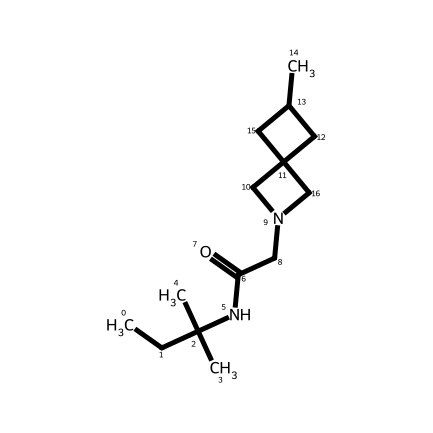 CCC(C)(C)NC(=O)CN1CC2(CC(C)C2)C1